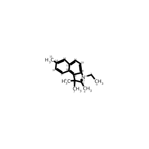 CC[N+]1=C(C)C(C)(C)c2c1ccc1cc(C)ccc21